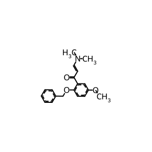 COc1ccc(OCc2ccccc2)c(C(=O)C=CN(C)C)c1